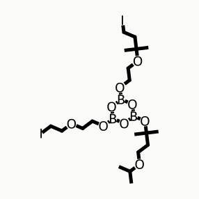 CC(C)OCCC(C)(C)OB1OB(OCCOCCI)OB(OCCOC(C)(C)CCI)O1